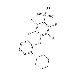 O=S(=O)(O)c1c(F)c(F)c(Oc2ccccc2C2CCCCC2)c(F)c1F